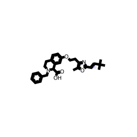 Cc1oc(/C=C/C(C)(C)C)nc1CCOc1ccc2c(c1)C(C(=O)O)N(Cc1ccccc1)CC2